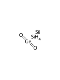 [O]=[Ge]=[O].[SiH4].[Si]